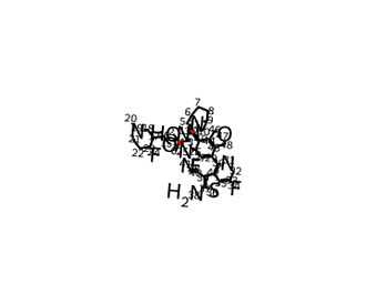 CC(O)CN1CC2CCC(C1)N2c1nc(OCC2CN(C)CCC2F)nc2c(F)c(-c3ncc(F)c4sc(N)c(C#N)c34)c3c(c12)COC3